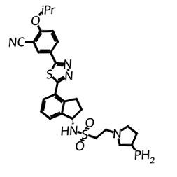 CC(C)Oc1ccc(-c2nnc(-c3cccc4c3CC[C@@H]4NS(=O)(=O)CCN3CCC(P)C3)s2)cc1C#N